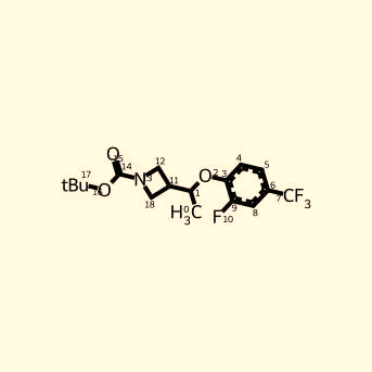 CC(Oc1ccc(C(F)(F)F)cc1F)C1CN(C(=O)OC(C)(C)C)C1